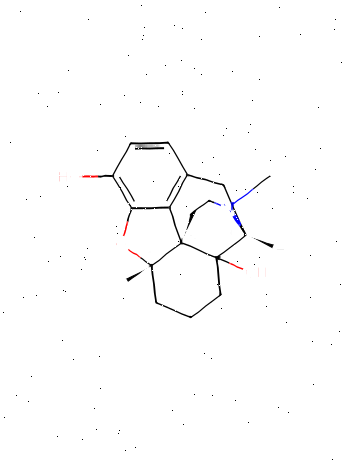 CN1CC[C@]23c4c5ccc(O)c4O[C@H]2CCCC3(O)[C@H]1C5